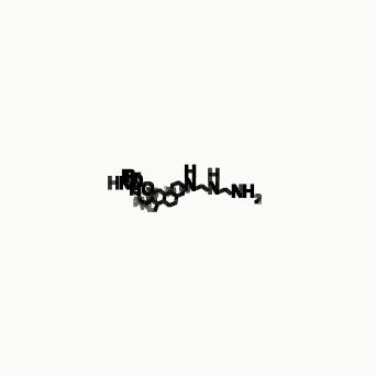 CC(C)NC(=O)CC[C@@H](C)[C@H]1CCC2C3CCC4C[C@@H](NCCCNCCCN)CC[C@]4(C)C3C[C@H](O)[C@@]21C